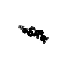 COc1cc(C=C2CC=C3CC[C@@H](c4ccc(F)c(F)c4)N3C2=O)ccc1-n1cnc(C)n1